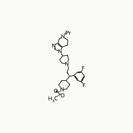 CC(C)N1CCc2c(ncn2C2CCN(CC[C@@H](c3cc(F)cc(F)c3)C3CCN(S(C)(=O)=O)CC3)CC2)C1